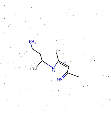 CCCCC(CCN)N/C(=C\C(C)=N)C(C)C